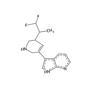 CC(C(F)F)C1C=C(c2c[nH]c3ncccc23)CNC1